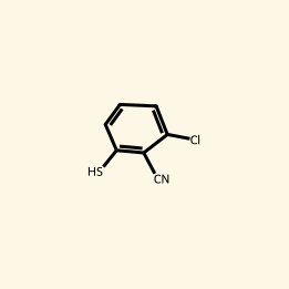 N#Cc1c(S)cccc1Cl